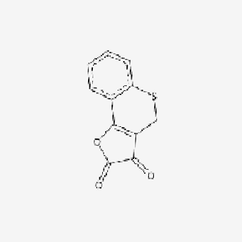 O=C1OC2=C(CSc3ccccc32)C1=O